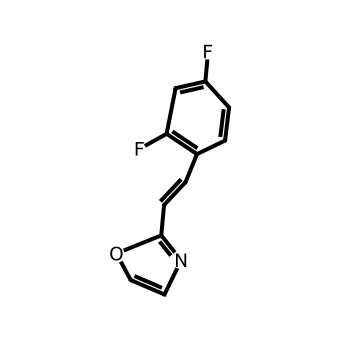 Fc1ccc(C=Cc2ncco2)c(F)c1